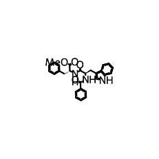 COC(=O)[C@@H](Cc1ccccc1)NC(=O)[C@@H](Cc1c[nH]c2ccccc12)NC(=O)c1ccccc1